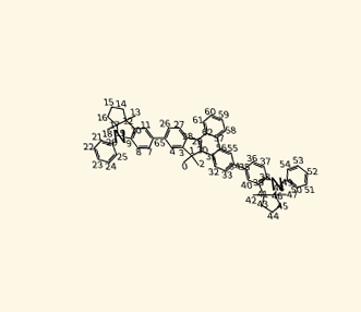 CC1(C)c2cc(-c3ccc4c(c3)C3(C)CCCC3(C)N4c3ccccc3)ccc2-c2c1c1ccc(-c3ccc4c(c3)C3(C)CCCC3(C)N4c3ccccc3)cc1c1ccccc21